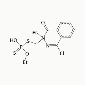 CCOP(O)(=S)SC[N+]1(C(C)C)N=C(Cl)c2ccccc2C1=O